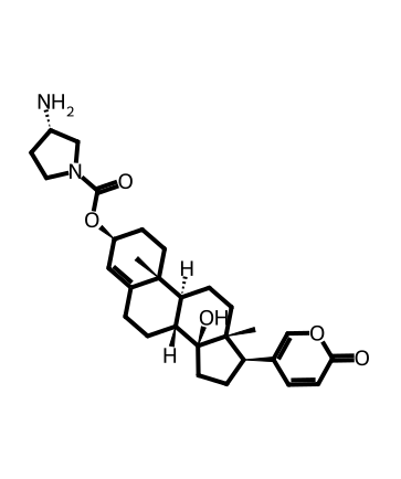 C[C@]12CC[C@H](OC(=O)N3CC[C@H](N)C3)C=C1CC[C@@H]1[C@@H]2CC[C@]2(C)[C@@H](c3ccc(=O)oc3)CC[C@]12O